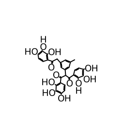 Cc1cc(CC(=O)c2ccc(O)c(O)c2O)cc(C(C(=O)c2ccc(O)c(O)c2O)C(=O)c2ccc(O)c(O)c2O)c1